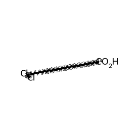 C[Si](Cl)(Cl)CCCCCCCCCCCCCCCCCCCCCCCCCCCCCCC(=O)O